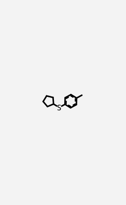 Cc1ccc(SC2CCCC2)cc1